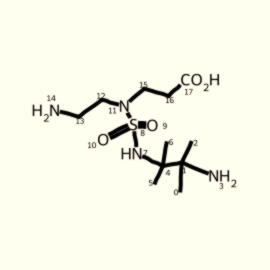 CC(C)(N)C(C)(C)NS(=O)(=O)N(CCN)CCC(=O)O